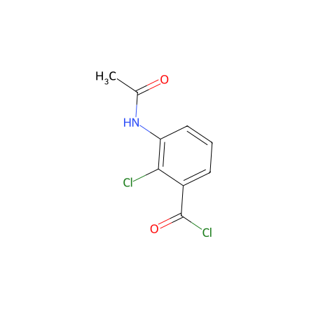 CC(=O)Nc1cccc(C(=O)Cl)c1Cl